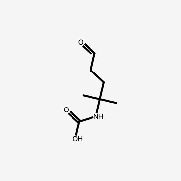 CC(C)(CCC=O)NC(=O)O